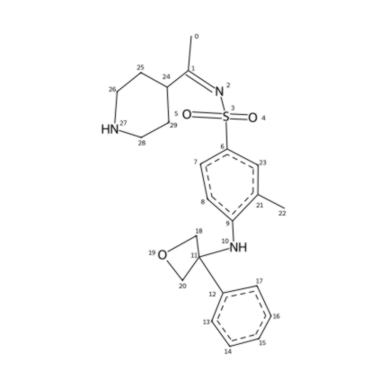 C/C(=N/S(=O)(=O)c1ccc(NC2(c3ccccc3)COC2)c(C)c1)C1CCNCC1